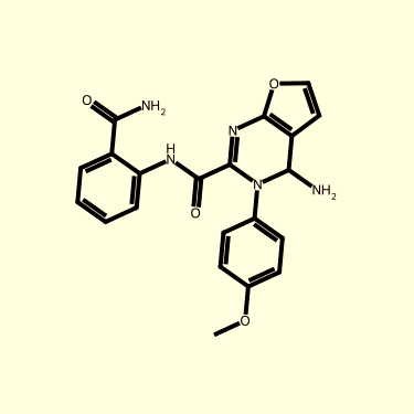 COc1ccc(N2C(C(=O)Nc3ccccc3C(N)=O)=Nc3occc3C2N)cc1